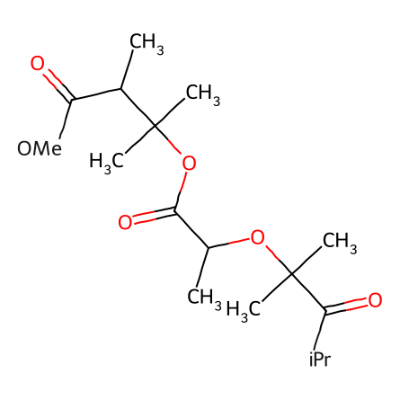 COC(=O)C(C)C(C)(C)OC(=O)C(C)OC(C)(C)C(=O)C(C)C